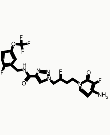 Nc1ccn(CCC(F)Cn2cc(C(=O)NCc3cc(OC(F)(F)F)ccc3F)nn2)c(=O)c1F